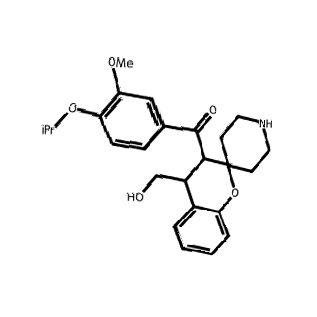 COc1cc(C(=O)C2C(CO)c3ccccc3OC23CCNCC3)ccc1OC(C)C